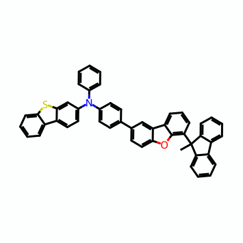 CC1(c2cccc3c2oc2ccc(-c4ccc(N(c5ccccc5)c5ccc6c(c5)sc5ccccc56)cc4)cc23)c2ccccc2-c2ccccc21